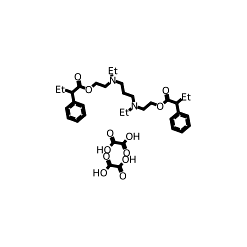 CCC(C(=O)OCCN(CC)CCCN(CC)CCOC(=O)C(CC)c1ccccc1)c1ccccc1.O=C(O)C(=O)O.O=C(O)C(=O)O